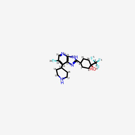 OC1(C(F)(F)F)CCC(c2nc3c(C4CCNCC4)c(F)cnc3[nH]2)CC1